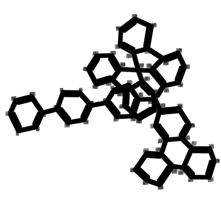 c1ccc(-c2ccc(-c3ccc(N(c4ccc5c6ccccc6c6ccccc6c5c4)c4cccc5c4C4(c6ccccc6-c6ccccc64)c4ccccc4-5)cc3)cc2)cc1